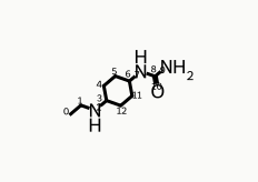 CCNC1CCC(NC(N)=O)CC1